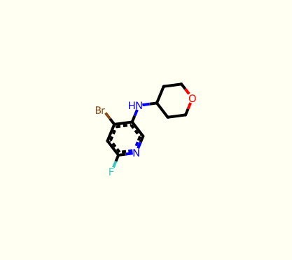 Fc1cc(Br)c(NC2CCOCC2)cn1